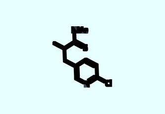 CNC(=S)C(C)Cc1ccc(Cl)nc1